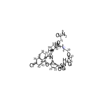 CN(C)C(=O)CO[C@H]1/C=C/COC2(CC2)C(=O)NS(=O)(=O)c2ccc3c(c2)N(C[C@@H]2CC[C@H]21)C[C@@]1(CCCc2cc(Cl)ccc21)CO3